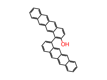 Oc1ccc2cc3cc4ccccc4cc3cc2c1-c1cccc2cc3cc4ccccc4cc3cc12